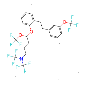 FC(F)(F)Oc1cccc(CCc2ccccc2OC(CCCN(C(F)(F)F)C(F)(F)F)OC(F)(F)F)c1